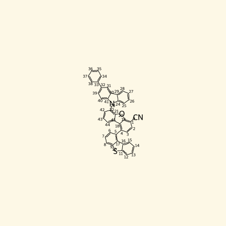 N#Cc1ccc(-c2cccc3sc4ccccc4c23)c2c1oc1c(-n3c4ccccc4c4cc(-c5ccccc5)ccc43)cccc12